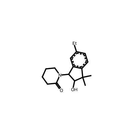 CCc1ccc2c(c1)C(N1CCCCC1=O)C(O)C2(C)C